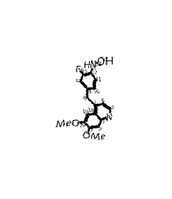 COc1cc2nccc(Cc3ccc(NO)c(F)c3)c2cc1OC